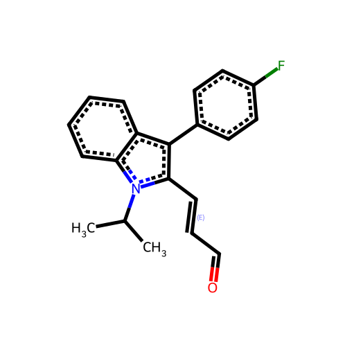 CC(C)n1c(/C=C/C=O)c(-c2ccc(F)cc2)c2ccccc21